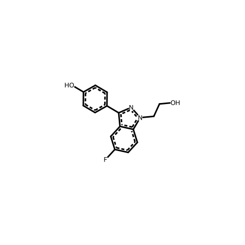 OCCn1nc(-c2ccc(O)cc2)c2cc(F)ccc21